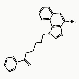 Nc1nc2ccccc2c2c1ncn2CCCCCC(=O)c1ccccc1